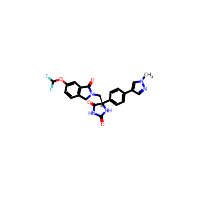 Cn1cc(-c2ccc([C@]3(CN4Cc5ccc(OC(F)F)cc5C4=O)NC(=O)NC3=O)cc2)cn1